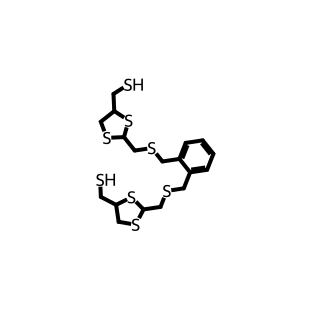 SCC1CSC(CSCc2ccccc2CSCC2SCC(CS)S2)S1